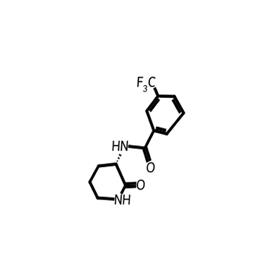 O=C(N[C@H]1CCCNC1=O)c1cccc(C(F)(F)F)c1